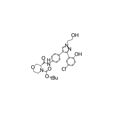 CC(C)(C)OC(=O)N1CCOC[C@H]1C(=O)Nc1ccc(-c2cn(CCO)nc2-c2cc(Cl)ccc2O)cc1